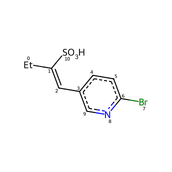 CCC(=Cc1ccc(Br)nc1)S(=O)(=O)O